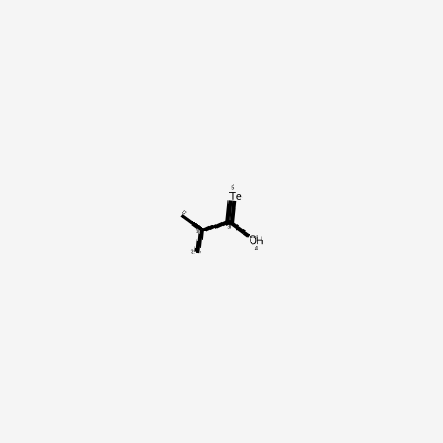 CC(C)C(O)=[Te]